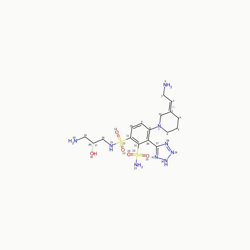 NC/C=C1/CCCN(c2ccc(S(=O)(=O)NC[C@H](O)CN)c(S(N)(=O)=O)c2-c2nn[nH]n2)C1